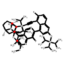 CSc1nc(N2C[C@H]3CC[C@@H](C2)N3C(=O)OC(C)(C)C)c2cnc(-c3cc(O[Si](C(C)C)(C(C)C)C(C)C)cc4ccc(F)c(C#C[Si](C(C)C)(C(C)C)C(C)C)c34)c(F)c2n1